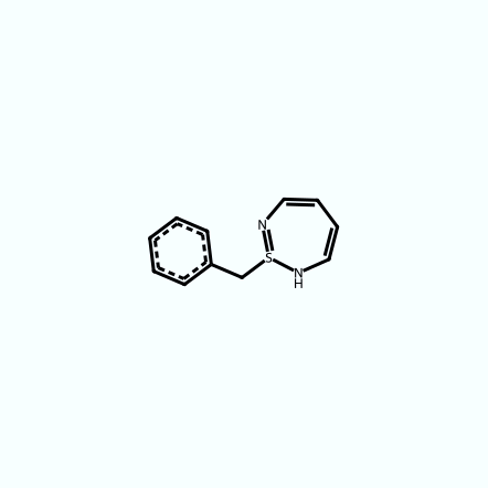 C1=CN=S(Cc2ccccc2)NC=C1